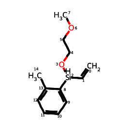 C=C[SiH](OCCOC)c1ccccc1C